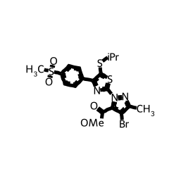 COC(=O)c1c(Br)c(C)nn1-c1nc(-c2ccc(S(C)(=O)=O)cc2)c(SC(C)C)s1